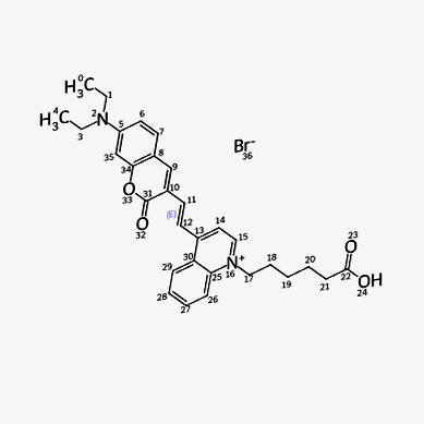 CCN(CC)c1ccc2cc(/C=C/c3cc[n+](CCCCCC(=O)O)c4ccccc34)c(=O)oc2c1.[Br-]